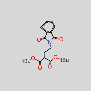 CC(C)(C)OC(=O)C(CCN1C(=O)c2ccccc2C1=O)C(=O)OC(C)(C)C